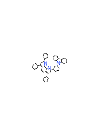 c1ccc(-c2cc(-c3ccccc3)c3ccc4c(-c5ccccc5)cc(-c5cccc(-n6c7ccccc7c7ccccc76)c5)nc4c3n2)cc1